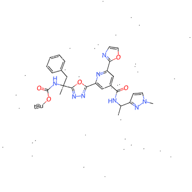 CC(NC(=O)c1cc(-c2ncco2)nc(-c2nnc(C(C)(Cc3ccccc3)NC(=O)OC(C)(C)C)o2)c1)c1ccn(C)n1